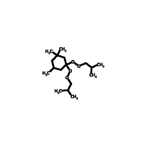 CC(C)COOC1(OOCC(C)C)CC(C)CC(C)(C)C1